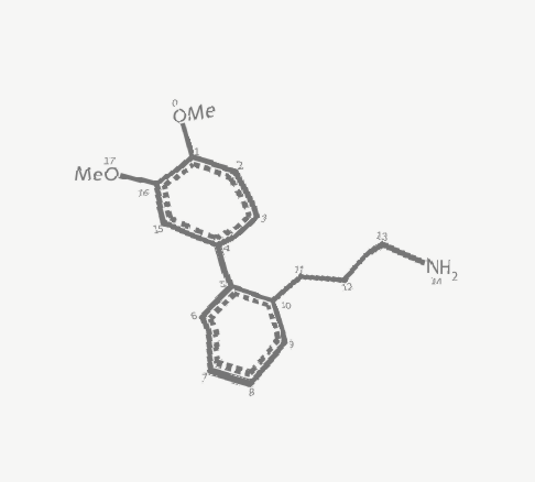 COc1ccc(-c2ccccc2CCCN)cc1OC